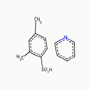 Cc1ccc(S(=O)(=O)O)c(C)c1.c1ccncc1